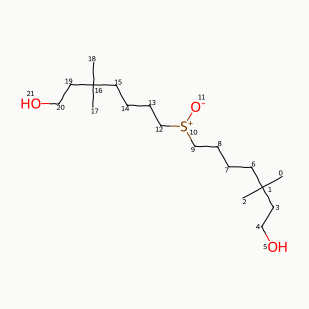 CC(C)(CCO)CCCC[S+]([O-])CCCCC(C)(C)CCO